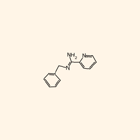 NC(=NCc1ccccc1)c1ccccn1